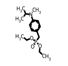 CCOP(=O)(Cc1ccc(N(C)C(C)C)cc1)OCC